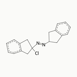 ClC1(N=NC2Cc3ccccc3C2)Cc2ccccc2C1